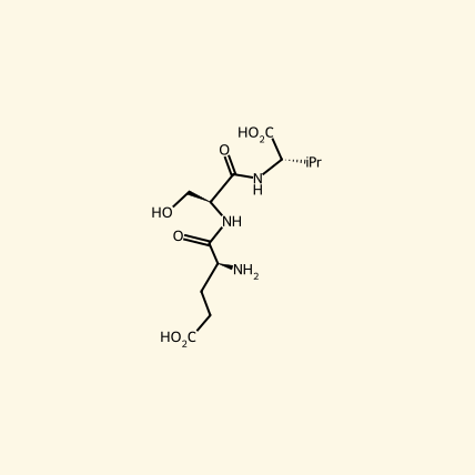 CC(C)[C@H](NC(=O)[C@H](CO)NC(=O)[C@@H](N)CCC(=O)O)C(=O)O